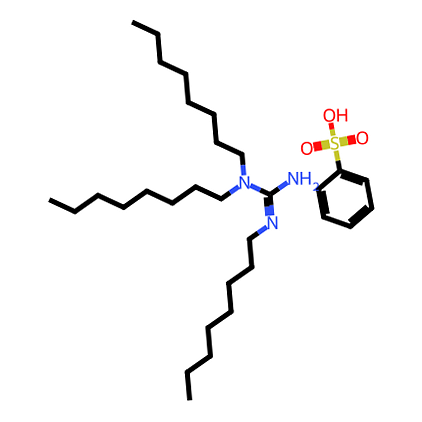 CCCCCCCCN=C(N)N(CCCCCCCC)CCCCCCCC.O=S(=O)(O)c1ccccc1